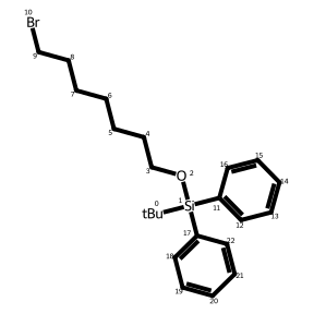 CC(C)(C)[Si](OCCCCCCCBr)(c1ccccc1)c1ccccc1